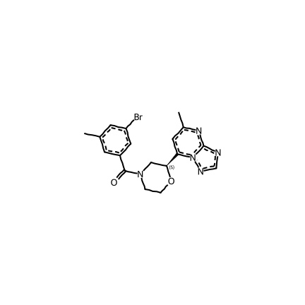 Cc1cc(Br)cc(C(=O)N2CCO[C@H](c3cc(C)nc4ncnn34)C2)c1